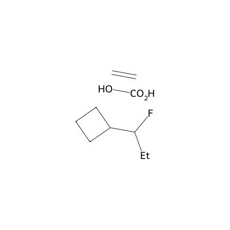 C=C.CCC(F)C1CCC1.O=C(O)O